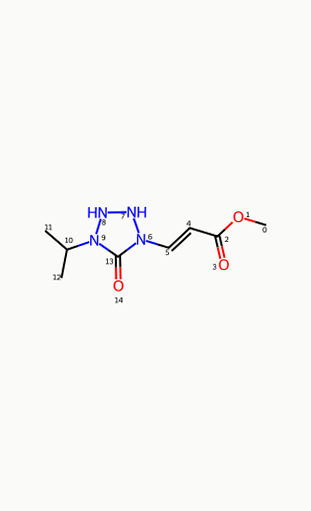 COC(=O)/C=C/N1NNN(C(C)C)C1=O